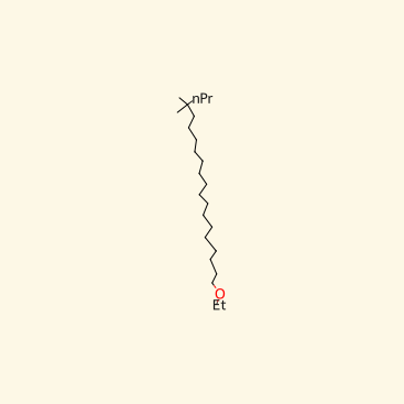 CCCC(C)(C)CCCCCCCCCCCCCCCCOCC